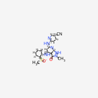 Cn1[nH]c2nc(Nc3ccc(C#N)cn3)cc(Nc3ccccc3[S+](C)[O-])c2c1=O